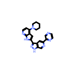 c1cnc(-c2cc3c(-c4cc5c(N6CCCCC6)ccnc5[nH]4)n[nH]c3cn2)cn1